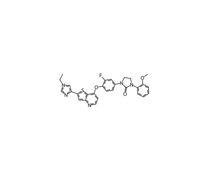 CCn1cnc(-c2cc3nccc(Oc4ccc(N5CCN(c6ccccc6OC)C5=O)cc4F)c3s2)c1